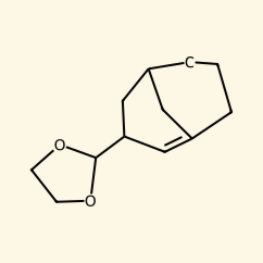 C1=C2CCCC(C2)CC1C1OCCO1